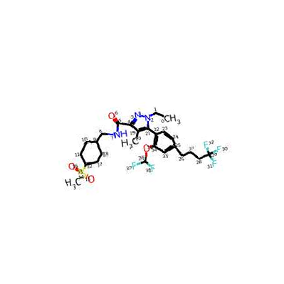 CCn1nc(C(=O)NCC2CCC(S(C)(=O)=O)CC2)c(C)c1-c1ccc(CCCC(F)(F)F)cc1OC(F)F